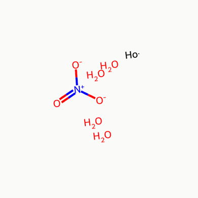 O.O.O.O.O=[N+]([O-])[O-].[Ho]